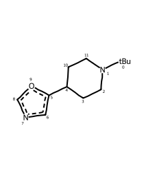 CC(C)(C)N1CCC(c2cnco2)CC1